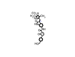 Cc1[nH]c(/C=C2\C(=O)Nc3cc(NC(=O)N4CCN(c5ccc(CO)cc5)C4=O)ccc32)c(C)c1C(=O)O